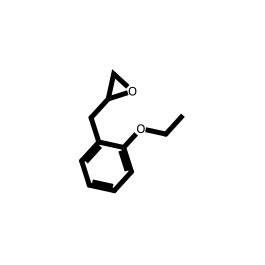 CCOc1ccccc1CC1CO1